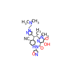 CC(c1nc(C(=O)Nc2cnoc2)c(O)c(=O)n1C)C(c1cnn(CCN(C)C)c1)c1ccccc1C#N